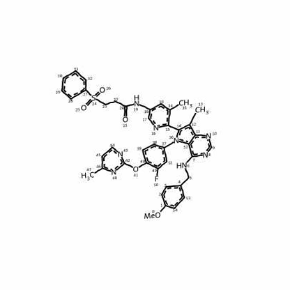 COc1ccc(CNc2ncnc3c(C)c(-c4ncc(NC(=O)CCS(=O)(=O)c5ccccc5)cc4C)n(-c4ccc(Oc5nccc(C)n5)c(F)c4)c23)cc1